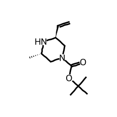 C=C[C@H]1CN(C(=O)OC(C)(C)C)C[C@H](C)N1